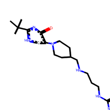 CC(C)(C)c1nc(=O)c(N2CCC(CNCCCNC(=N)N)CC2)c[nH]1